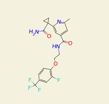 Cc1cc(C(=O)NCCOc2ccc(C(F)(F)F)cc2F)cc(C2(C(N)=O)CC2)n1